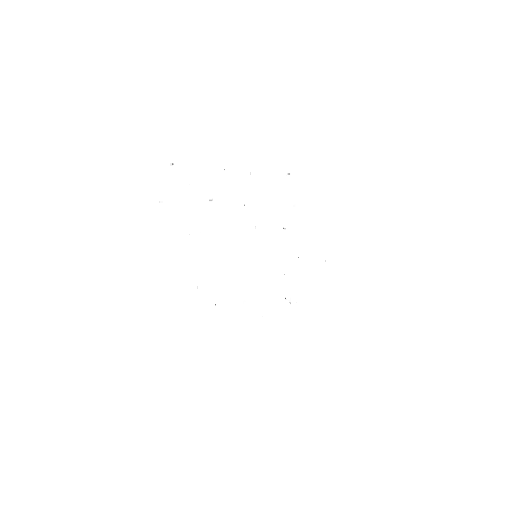 Cc1ccc(-c2noc(CF)c2-c2cc(F)c(S(C)(=O)=O)cc2F)cc1Cl